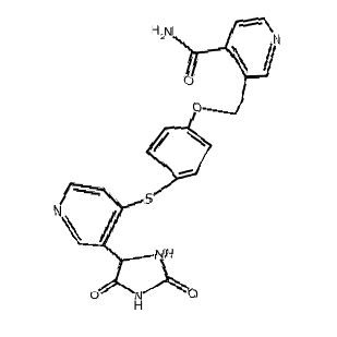 NC(=O)c1ccncc1COc1ccc(Sc2ccncc2C2NC(=O)NC2=O)cc1